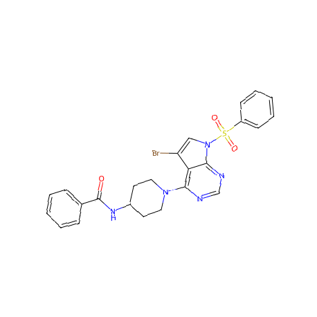 O=C(NC1CCN(c2ncnc3c2c(Br)cn3S(=O)(=O)c2ccccc2)CC1)c1ccccc1